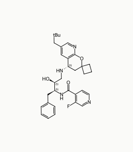 CC(C)(C)Cc1cnc2c(c1)[C@@H](NC[C@H](O)[C@H](Cc1ccccc1)NC(=O)c1ccncc1F)CC1(CCC1)O2